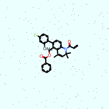 C=CC(=O)N1c2ccc(-c3ccc(F)cc3OC)c(COC(=O)c3ccccc3)c2C(C)=CC1(C)C